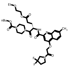 CCCCOC(=O)N1CCN(C(=O)[C@H](CCC(=O)OCCOCC)NC(=O)c2cc(OCC(=O)N3CCC(F)(F)C3)c3ccc(C)cc3n2)CC1